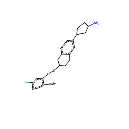 COc1ccc(F)cc1CCC1CCc2cc(C3CCC(N)C3)ccc2C1